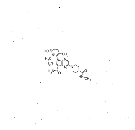 CNC(=O)C1CCN(c2cnc3c(n2)c(C(N)=O)c(N)n3C2=C(C)C=C[C@@H](O)[C@H]2C)CC1